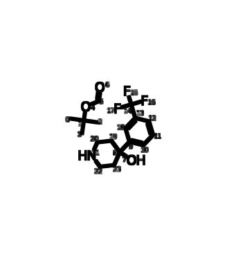 CC(C)(C)OC=O.OC1(c2cccc(C(F)(F)F)c2)CCNCC1